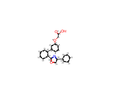 O=C(O)COc1cccc(-c2ccccc2-c2nc(-c3ccccc3)co2)c1